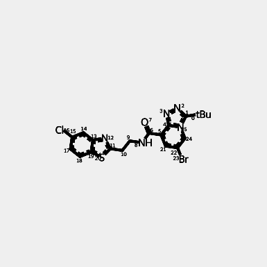 CC(C)(C)c1nnc2c(C(=O)NCCc3nc4cc(Cl)ccc4s3)cc(Br)cn12